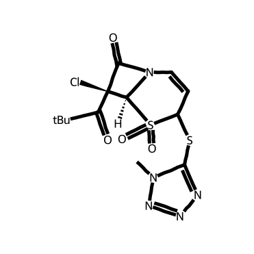 Cn1nnnc1SC1C=CN2C(=O)[C@@](Cl)(C(=O)C(C)(C)C)[C@@H]2S1(=O)=O